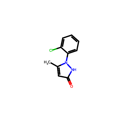 Cc1cc(=O)[nH]n1-c1ccccc1Cl